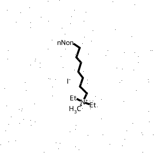 CCCCCCCCCCCCCCCC[N+](C)(CC)CC.[I-]